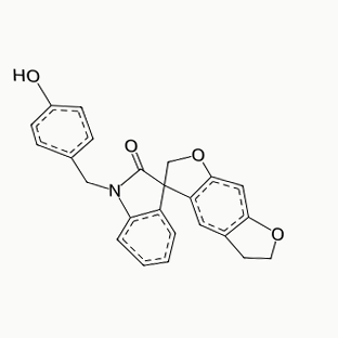 O=C1N(Cc2ccc(O)cc2)c2ccccc2C12COc1cc3c(cc12)CCO3